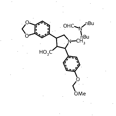 CCCCN(C=O)CCCC.COCOc1ccc(C2C(C(=O)O)C(c3ccc4c(c3)OCO4)CN2C)cc1